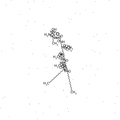 CCCCCCCCCCCCCCCC(=O)OCC(CSC[C@H](NC(=O)OC(C)(C)C)C(=O)NCCCN(CCCCN(CCCNC(=O)CNC(=O)c1ccc(Cn2c(O)nc3c(N)nc(NCCCC)nc32)cc1)C(=O)OC(C)(C)C)C(=O)OC(C)(C)C)OC(=O)CCCCCCCCCCCCCCC